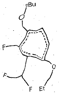 CCCCOc1ccc(OCC)c(C(F)F)c1F